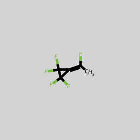 CC(F)=C1C(F)(F)C1(F)F